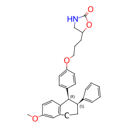 COc1ccc2c(c1)CC[C@H](c1ccccc1)[C@@H]2c1ccc(OCCCC2CNC(=O)O2)cc1